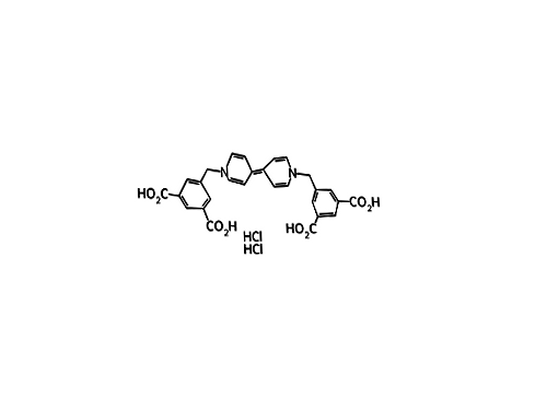 Cl.Cl.O=C(O)c1cc(CN2C=CC(=C3C=CN(Cc4cc(C(=O)O)cc(C(=O)O)c4)C=C3)C=C2)cc(C(=O)O)c1